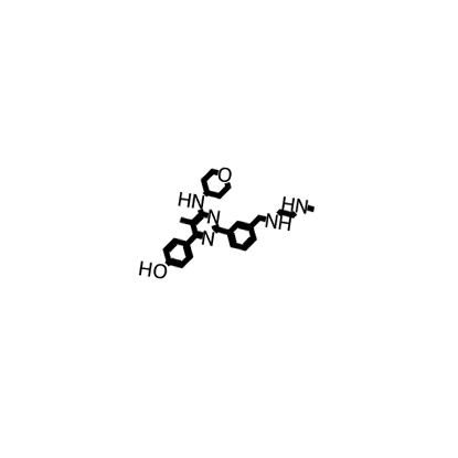 CNCCNCc1cccc(-c2nc(NC3CCOCC3)c(C)c(-c3ccc(O)cc3)n2)c1